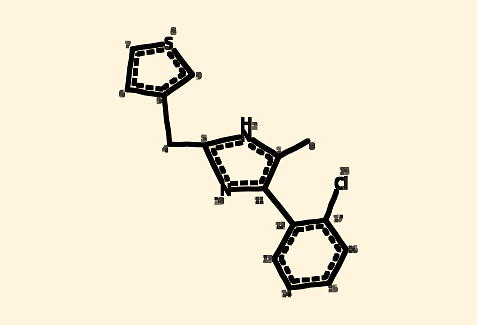 Cc1[nH]c(Cc2ccsc2)nc1-c1ccccc1Cl